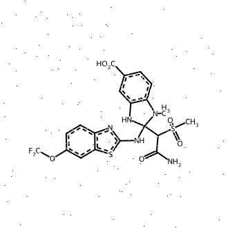 CN1c2ccc(C(=O)O)cc2NC1(Nc1nc2ccc(OC(F)(F)F)cc2s1)C(C(N)=O)S(C)(=O)=O